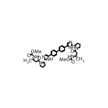 COC(=O)N[C@@H](C)CC(=O)N1CCC[C@H]1c1ncc(-c2ccc(-c3ccc(-c4cnc([C@@H]5CCCN5C(=O)C[C@H](C)NC(=O)OC)[nH]4)cc3)cc2)[nH]1